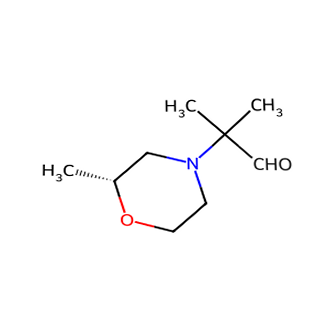 C[C@@H]1CN(C(C)(C)C=O)CCO1